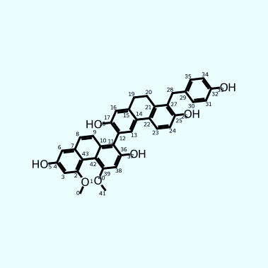 COc1cc(O)cc2ccc3c(-c4cc5c(cc4O)CCc4c-5ccc(O)c4Cc4ccc(O)cc4)c(O)cc(OC)c3c12